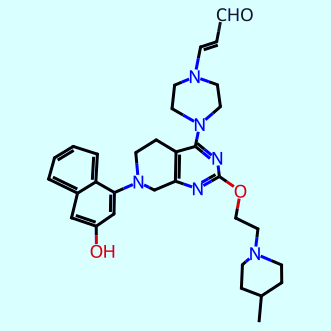 CC1CCN(CCOc2nc3c(c(N4CCN(C=CC=O)CC4)n2)CCN(c2cc(O)cc4ccccc24)C3)CC1